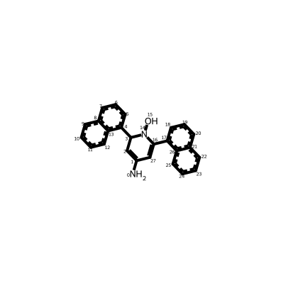 NC1=CC(c2cccc3ccccc23)N(O)C(c2cccc3ccccc23)=C1